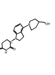 O=C1CC[C@@H](N2CCc3c(N4CCC(CO)CC4)cccc32)C(=O)N1